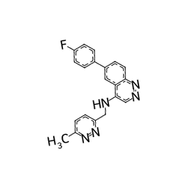 Cc1ccc(CNc2cnnc3ccc(-c4ccc(F)cc4)cc23)nn1